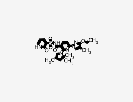 CCOc1nn(-c2ccc(C(=O)NS(=O)(=O)c3ccc[nH]c3=O)c(N3C[C@@H](C)CC3(C)C)n2)cc1C